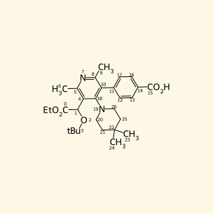 CCOC(=O)C(OC(C)(C)C)c1c(C)nc(C)c(-c2ccc(C(=O)O)cc2)c1N1CCC(C)(C)CC1